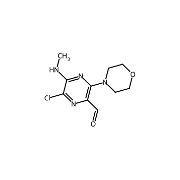 CNc1nc(N2CCOCC2)c(C=O)nc1Cl